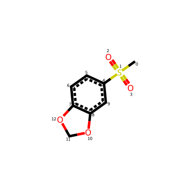 CS(=O)(=O)c1ccc2c(c1)OCO2